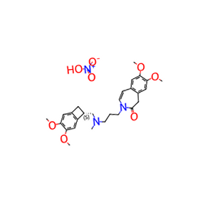 COc1cc2c(cc1OC)CC(=O)N(CCCN(C)C[C@H]1Cc3cc(OC)c(OC)cc31)C=C2.O=[N+]([O-])O